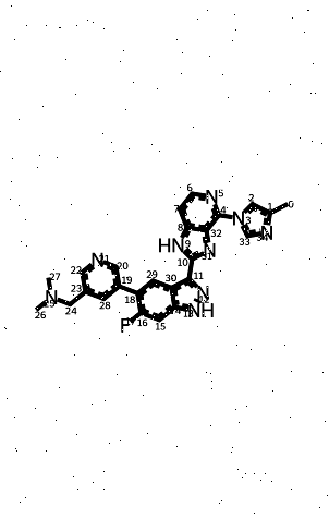 Cc1cn(-c2nccc3[nH]c(-c4n[nH]c5cc(F)c(-c6cncc(CN(C)C)c6)cc45)nc23)cn1